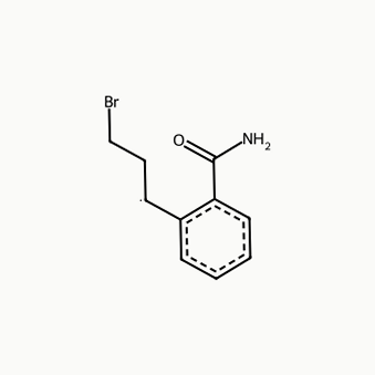 NC(=O)c1ccccc1[CH]CCBr